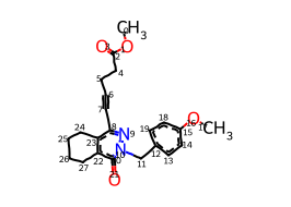 COC(=O)CCC#Cc1nn(Cc2ccc(OC)cc2)c(=O)c2c1CCCC2